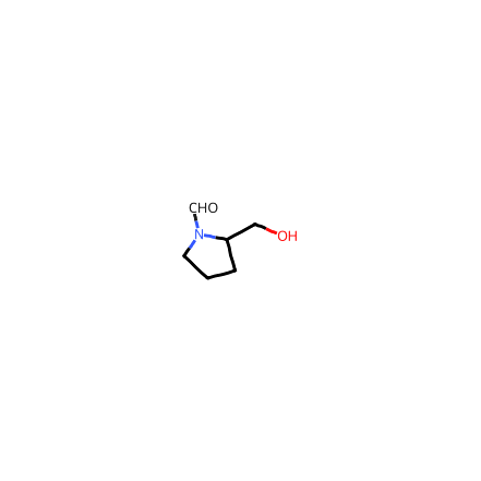 O=CN1CCCC1CO